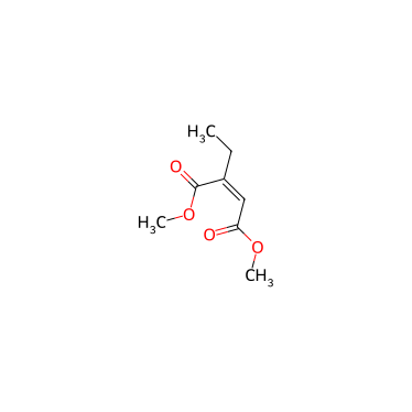 CCC(=CC(=O)OC)C(=O)OC